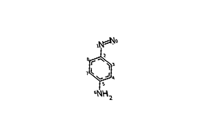 [N]=Nc1ccc(N)cc1